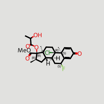 COC(=O)[C@@]1(OC(=O)C(C)O)[C@H](C)C[C@H]2[C@@H]3C[C@H](F)C4=CC(=O)C=C[C@]4(C)[C@@]3(Cl)CC[C@@]21C